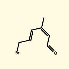 CC(C=CCBr)=CC=O